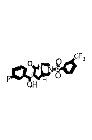 O=C1[C@@H](C(O)c2cccc(F)c2)C[C@H]2CN(S(=O)(=O)c3cccc(C(F)(F)F)c3)CCN12